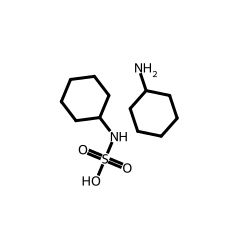 NC1CCCCC1.O=S(=O)(O)NC1CCCCC1